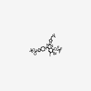 CN(C)CC1CN(c2nc(N3CCC4(CC3)CN(C(=O)OC(C)(C)C)C4)c3cc(I)c(Br)c(OCC(F)(F)F)c3n2)C1